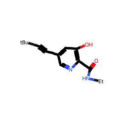 CCNC(=O)c1ncc(C#CC(C)(C)C)cc1O